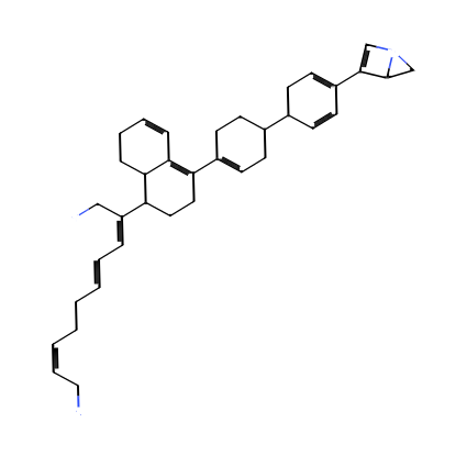 NC/C=C\CC/C=C/C=C(\CN)C1CCC(C2=CCC(C3C=CC(C4=CN5CC45)=CC3)CC2)=C2C=CCCC21